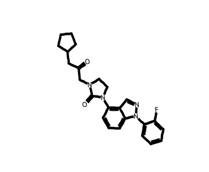 O=C(CC1CCCC1)CN1CCN(c2cccc3c2cnn3-c2ccccc2F)C1=O